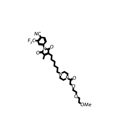 COCCOCCOCC(=O)N1CCN(CCCCCCC2=C(C)C(=O)N(c3ccc(C#N)c(C(F)(F)F)c3)C2=O)CC1